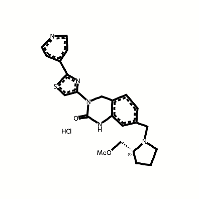 COC[C@H]1CCCN1Cc1ccc2c(c1)NC(=O)N(c1csc(-c3ccncc3)n1)C2.Cl